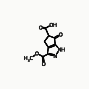 COC(=O)c1n[nH]c2c1CC(C(=O)O)C2=O